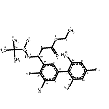 CCOC(=O)C[C@H](N[S+]([O-])C(C)(C)C)c1cc(-c2c(C)cc(F)cc2C)cc(Cl)c1F